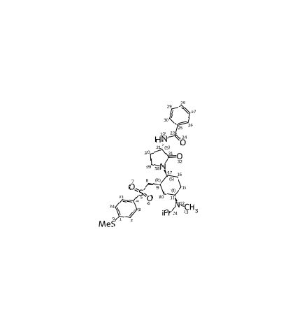 CSc1ccc(S(=O)(=O)C[C@@H]2C[C@H](N(C)C(C)C)CC[C@@H]2N2CC[C@H](NC(=O)c3ccccc3)C2=O)cc1